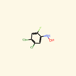 ONc1cc(Cl)c(Cl)cc1F